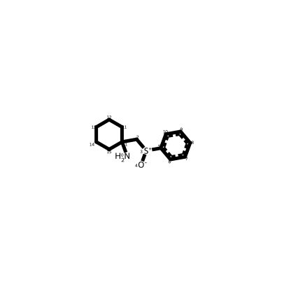 NC1(C[S+]([O-])c2ccccc2)CCCCC1